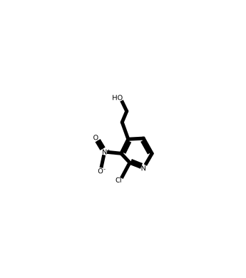 O=[N+]([O-])c1c(CCO)ccnc1Cl